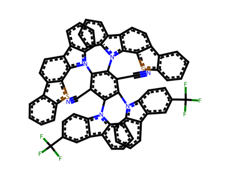 N#Cc1c(-n2c3ccccc3c3cc(C(F)(F)F)ccc32)c(-n2c3ccccc3c3cc(C(F)(F)F)ccc32)c(C#N)c(-n2c3ccccc3c3ccc4c5ccccc5sc4c32)c1-n1c2ccccc2c2ccc3c4ccccc4sc3c21